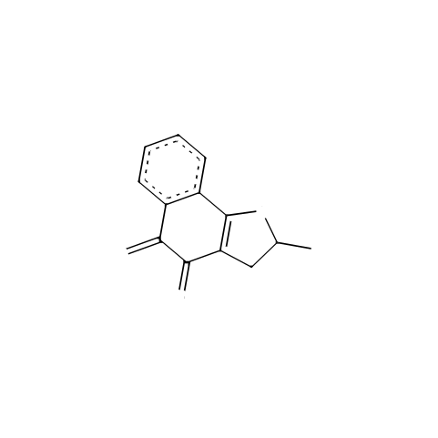 C=C1C(=O)C2=C(SC(C)C2)c2ccccc21